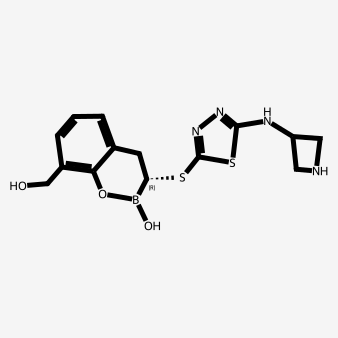 OCc1cccc2c1OB(O)[C@@H](Sc1nnc(NC3CNC3)s1)C2